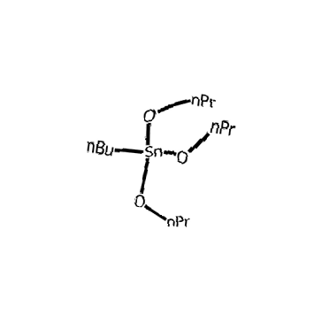 CCC[CH2][Sn]([O]CCC)([O]CCC)[O]CCC